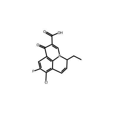 CCC1C=Cc2c(Cl)c(F)cc3c(=O)c(C(=O)O)cn1c23